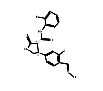 C/N=C/c1ccc([C@H]2CNC(=O)[C@@H]2C(=O)Nc2ccccc2F)cc1F